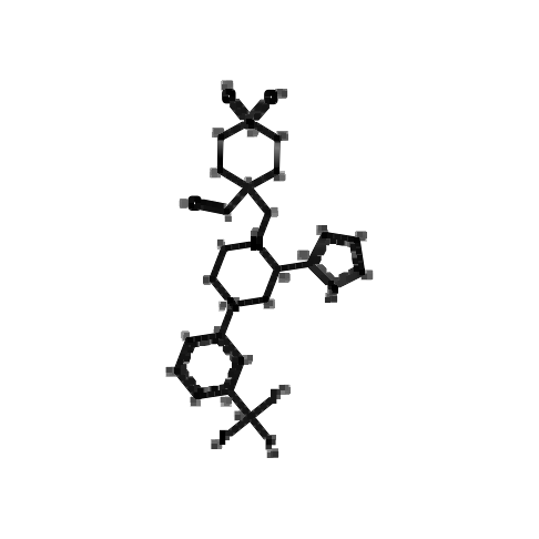 O=CC1(CN2CCN(c3cccc(C(F)(F)F)c3)CC2c2cccs2)CCS(=O)(=O)CC1